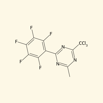 Cc1nc(-c2c(F)c(F)c(F)c(F)c2F)nc(C(Cl)(Cl)Cl)n1